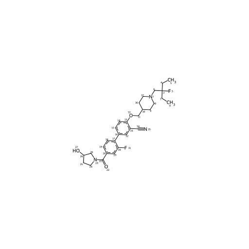 CCC(F)(CC)CN1CCC(COc2ccc(-c3ccc(C(=O)N4CCC(O)C4)cc3F)cc2C#N)CC1